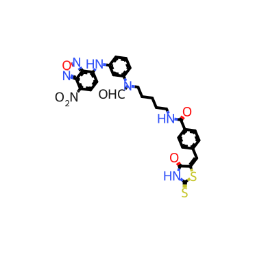 O=CN(CCCCCNC(=O)c1ccc(C=C2SC(=S)NC2=O)cc1)c1cccc(Nc2ccc([N+](=O)[O-])c3nonc23)c1